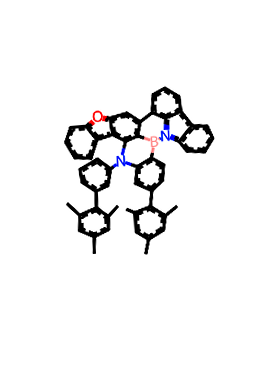 Cc1cc(C)c(-c2cccc(N3c4cc(-c5c(C)cc(C)cc5C)ccc4B4c5c(cc6oc7ccccc7c6c53)-c3cccc5c6ccccc6n4c35)c2)c(C)c1